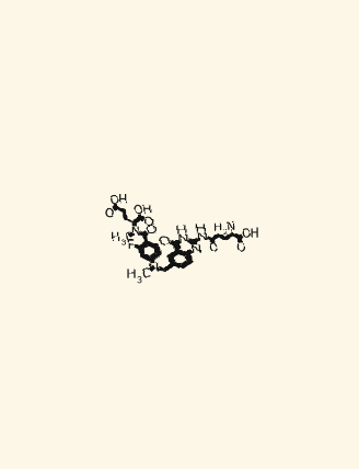 CN(Cc1ccc2nc(NC(=O)CC[C@H](N)C(=O)O)[nH]c(=O)c2c1)c1ccc(C(=O)N(C)[C@@H](CCC(=O)O)C(=O)O)c(F)c1